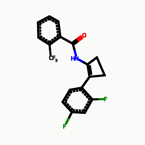 O=C(NC1=C(c2ccc(F)cc2F)CC1)c1ccccc1C(F)(F)F